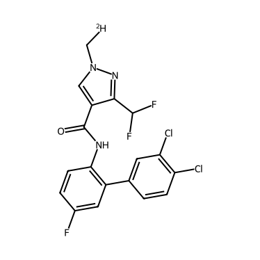 [2H]Cn1cc(C(=O)Nc2ccc(F)cc2-c2ccc(Cl)c(Cl)c2)c(C(F)F)n1